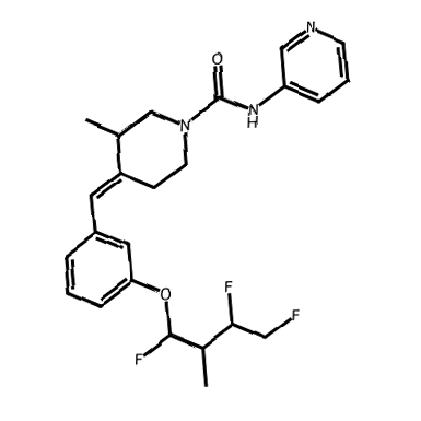 CC1CN(C(=O)Nc2cccnc2)CCC1=Cc1cccc(OC(F)C(C)C(F)CF)c1